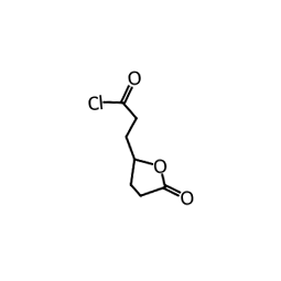 O=C(Cl)CCC1CCC(=O)O1